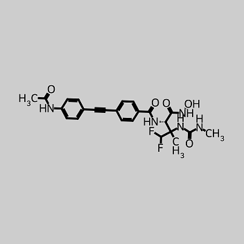 CNC(=O)NC(C)(C(F)F)[C@H](NC(=O)c1ccc(C#Cc2ccc(NC(C)=O)cc2)cc1)C(=O)NO